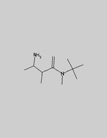 C=C(C(C)C(C)N)N(C)C(C)(C)C